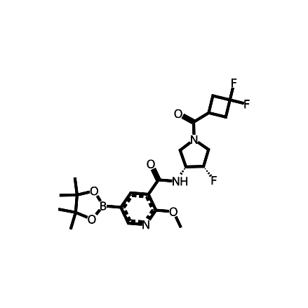 COc1ncc(B2OC(C)(C)C(C)(C)O2)cc1C(=O)N[C@@H]1CN(C(=O)C2CC(F)(F)C2)C[C@@H]1F